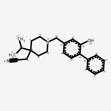 CC(C)C1(CC#N)CCN(Cc2ccc(-c3ccccc3)c(O)c2)CC1